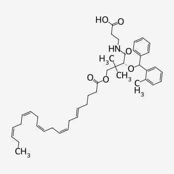 CC/C=C\C/C=C\C/C=C\C/C=C\C/C=C/CCCC(=O)OCC(C)(C)[C@@H](OC(c1ccccc1)c1ccccc1C)C(=O)NCCC(=O)O